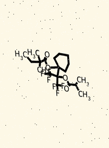 CCC(C)(C)C(=O)OC1(C(OC(=O)C(C)C)(C(F)(F)F)C(F)(F)F)CCCCC1